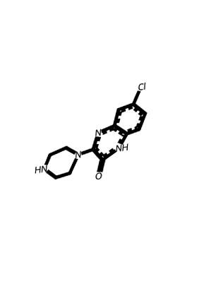 O=c1[nH]c2ccc(Cl)cc2nc1N1CCNCC1